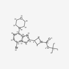 CC(C)(C)OC(=O)N1CC(c2cn3c(Br)cnc(N4CCOCC4)c3n2)C1